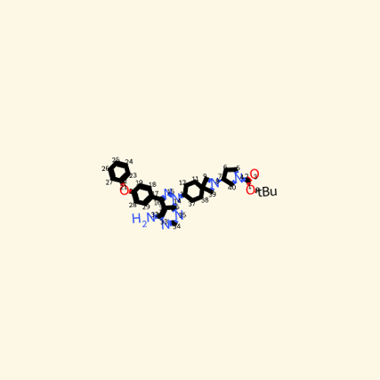 CC(C)(C)OC(=O)N1CC[C@H](N2CC3(CCC(n4nc(-c5ccc(Oc6ccccc6)cc5)c5c(N)ncnc54)CC3)C2)C1